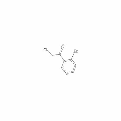 CCc1ccncc1C(=O)CCl